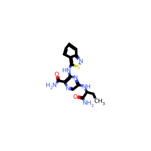 CCC(Nc1cnc(C(N)=O)c(Nc2snc3ccccc23)n1)C(N)=O